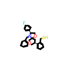 Fc1ccc([C@H]2COC3(COC[C@H](c4ccccc4CS)C3)N2Cc2ccccc2)cc1